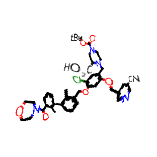 Cc1c(COc2cc(OCc3cncc(C#N)c3)c(CN3CCN(C(=O)OC(C)(C)C)CC3C(=O)O)cc2Cl)cccc1-c1cccc(C(=O)N2CCOCC2)c1C